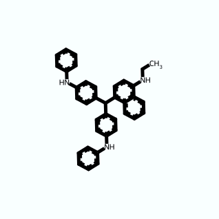 CCNc1ccc(C(c2ccc(Nc3ccccc3)cc2)c2ccc(Nc3ccccc3)cc2)c2ccccc12